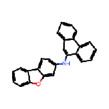 c1ccc2c(c1)cc(Nc1ccc3c(c1)oc1ccccc13)c1ccccc12